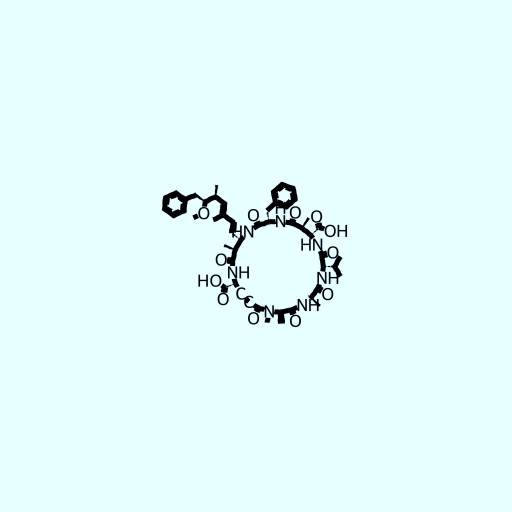 C=C1C(=O)N[C@H](C)C(=O)N[C@@H](C(C)C)C(=O)N[C@@H](C(=O)O)[C@H](C)C(=O)N[C@@H](Cc2ccccc2)C(=O)N[C@@H](/C=C/C(C)=C/[C@H](C)[C@H](Cc2ccccc2)OC)[C@H](C)C(=O)N[C@@H](C(=O)O)CCC(=O)N1C